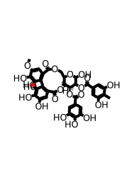 COc1cc2c(c(O)c1O)-c1c(cc(O)c(O)c1O)C(=O)O[C@@H]1C(COC2=O)OC(O)C(OC(=O)c2cc(O)c(C)c(O)c2)[C@H]1OC(=O)c1cc(O)c(O)c(O)c1